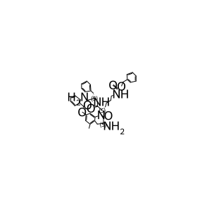 Cc1cc(OCc2ccccc2)cc2c1C[C@H](N)C(=O)N2[C@@H](CCCCNC(=O)OCc1ccccc1)C(=O)N[C@@H](Cc1ccccc1)C(N)=O